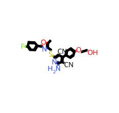 Cc1oc(-c2ccc(F)cc2)nc1CSc1nc(N)c(C#N)c(-c2ccc(OCCO)cc2)c1C#N